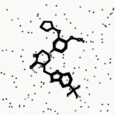 COc1ccc([C@H]2CNC(=O)[C@H](Cc3nc4cc(C(F)(F)F)ccc4o3)C2)cc1OC1CCCC1